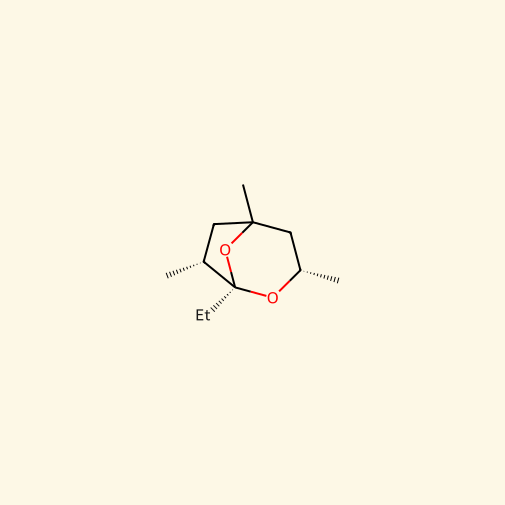 CC[C@]12O[C@@H](C)CC(C)(C[C@H]1C)O2